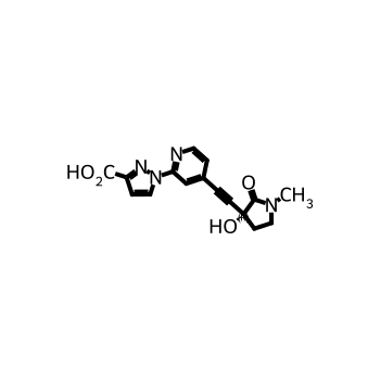 CN1CC[C@@](O)(C#Cc2ccnc(-n3ccc(C(=O)O)n3)c2)C1=O